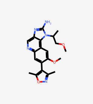 COCC(C)n1c(N)nc2cnc3cc(-c4c(C)noc4C)c(OC)cc3c21